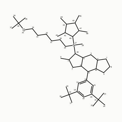 CC1CC2C(CC3CCCC3C2c2cc(C(C)(C)C)cc(C(C)(C)C)c2)C1[Si](C)(CCCCCCOC(C)(C)C)C1C(C)C(C)C(C)C1C